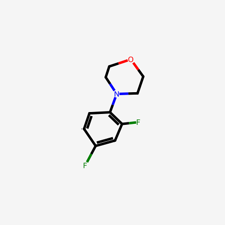 Fc1[c]cc(N2CCOCC2)c(F)c1